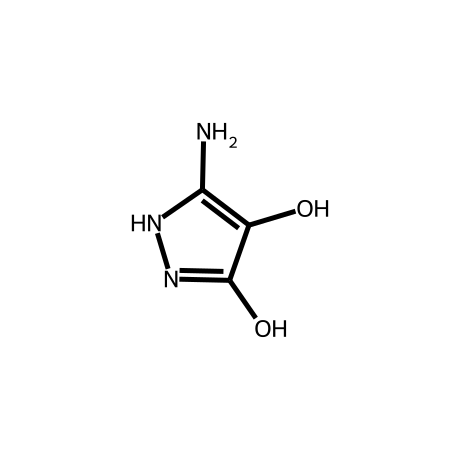 Nc1[nH]nc(O)c1O